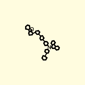 c1ccc(-c2ccc(N(c3ccc(-c4ccc(-c5cccc(-c6cccc7c6oc6ccccc67)c5)cc4)cc3)c3cc4ccccc4c4ccccc34)cc2)cc1